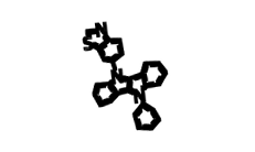 c1ccc(-n2c3ccccc3c3c2c2ccccc2n3-c2ccc3ncsc3c2)cc1